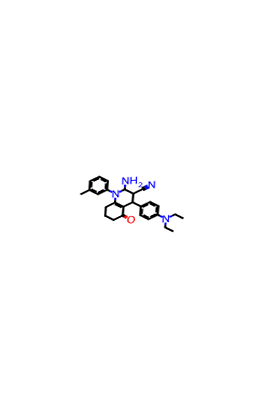 CCN(CC)c1ccc(C2C3=C(CCCC3=O)N(c3cccc(C)c3)C(N)C2C#N)cc1